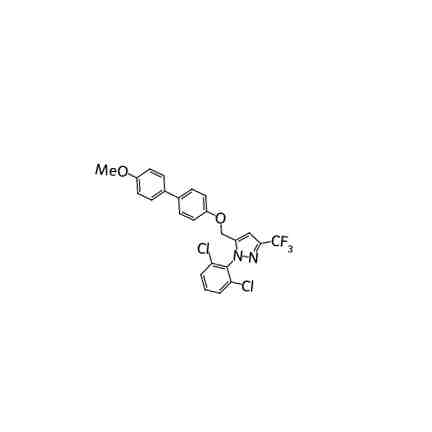 COc1ccc(-c2ccc(OCc3cc(C(F)(F)F)nn3-c3c(Cl)cccc3Cl)cc2)cc1